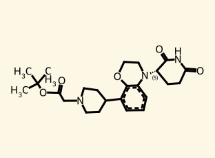 CC(C)(C)OC(=O)CN1CCC(c2cccc3c2OCCN3[C@H]2CCC(=O)NC2=O)CC1